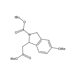 COC(=O)CC1c2ccc(OC)cc2CN1C(=O)OC(C)(C)C